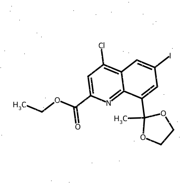 CCOC(=O)c1cc(Cl)c2cc(I)cc(C3(C)OCCO3)c2n1